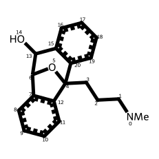 CNCCCC12OC(c3ccccc31)C(O)c1ccccc12